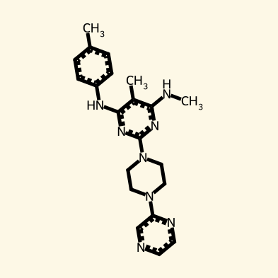 CNc1nc(N2CCN(c3cnccn3)CC2)nc(Nc2ccc(C)cc2)c1C